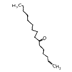 C=CCCCCC(=O)CCCCCCCCC